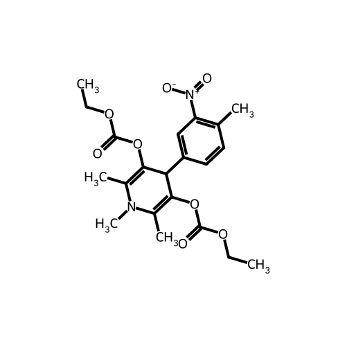 CCOC(=O)OC1=C(C)N(C)C(C)=C(OC(=O)OCC)C1c1ccc(C)c([N+](=O)[O-])c1